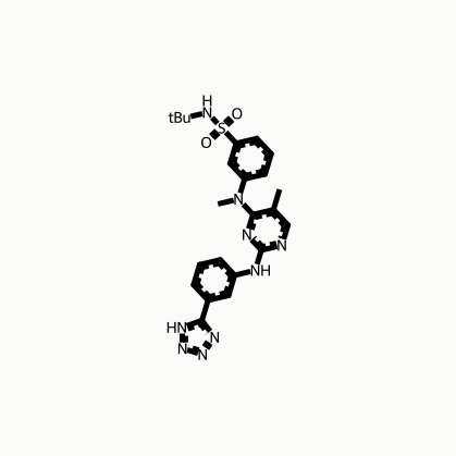 Cc1cnc(Nc2cccc(-c3nnn[nH]3)c2)nc1N(C)c1cccc(S(=O)(=O)NC(C)(C)C)c1